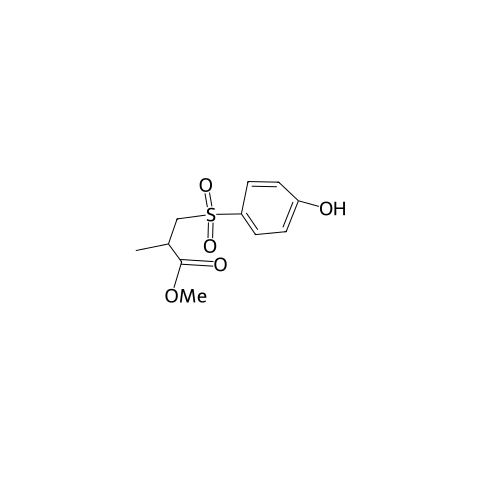 COC(=O)C(C)CS(=O)(=O)c1ccc(O)cc1